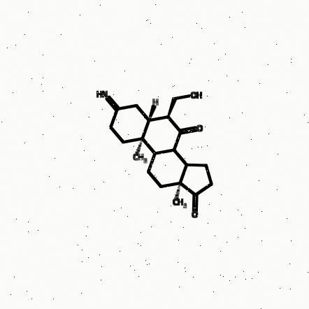 C[C@]12CCC3C(C(=O)[C@H](CO)[C@H]4CC(=N)CC[C@]34C)C1CCC2=O